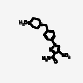 CN1CCN(Cc2ccc(-n3cc([N+](=O)[O-])c(C(N)=O)n3)cc2)CC1